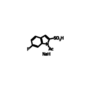 CC(=O)n1c(S(=O)(=O)O)cc2ccc(F)cc21.[NaH]